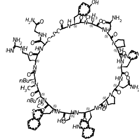 CCCC[C@H]1C(=O)N(C)[C@@H](CCCC)C(=O)N[C@@H](CCCNC(=N)N)C(=O)NC(C(=O)NCC(N)=O)CSCC(=O)N[C@@H](Cc2ccc(O)cc2)C(=O)N(C)[C@@H](C)C(=O)N[C@@H](CC(N)=O)C(=O)N2CCC[C@H]2C(=O)N[C@@H](Cc2cnc[nH]2)C(=O)N[C@@H](CC(N)=O)C(=O)N2CCC[C@H]2C(=O)N[C@@H](Cc2c[nH]c3ccccc23)C(=O)N[C@@H](CO)C(=O)N[C@@H](Cc2csc3ccccc23)C(=O)N1C